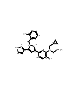 CCOC(=O)CN(CC1CC1)c1nc(-c2cc(-c3ccon3)n(Cc3ccccc3F)n2)ncc1F